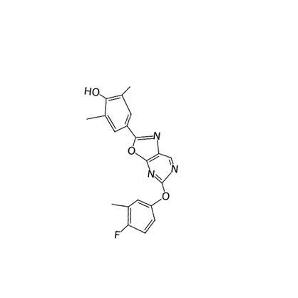 Cc1cc(Oc2ncc3nc(-c4cc(C)c(O)c(C)c4)oc3n2)ccc1F